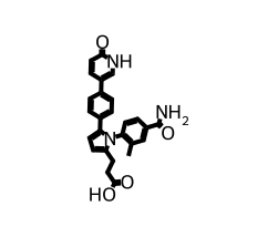 Cc1cc(C(N)=O)ccc1-n1c(CCC(=O)O)ccc1-c1ccc(-c2ccc(=O)[nH]c2)cc1